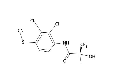 C[C@@](O)(C(=O)Nc1ccc(SC#N)c(Cl)c1Cl)C(F)(F)F